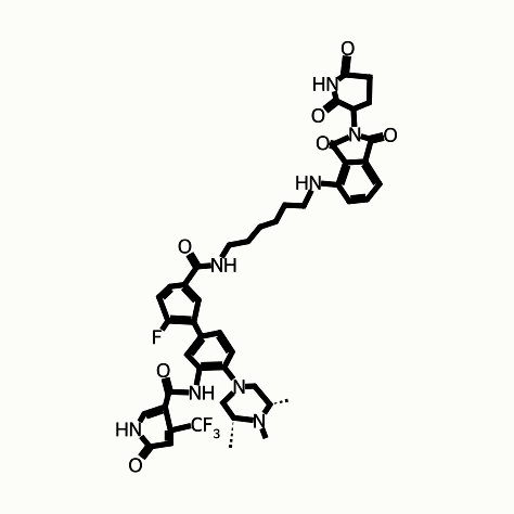 C[C@@H]1CN(c2ccc(-c3cc(C(=O)NCCCCCCNc4cccc5c4C(=O)N(C4CCC(=O)NC4=O)C5=O)ccc3F)cc2NC(=O)c2c[nH]c(=O)cc2C(F)(F)F)C[C@H](C)N1C